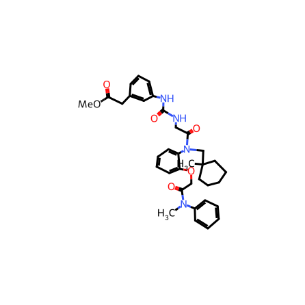 COC(=O)Cc1cccc(NC(=O)NCC(=O)N(CC2(C)CCCCC2)c2ccccc2OCC(=O)N(C)c2ccccc2)c1